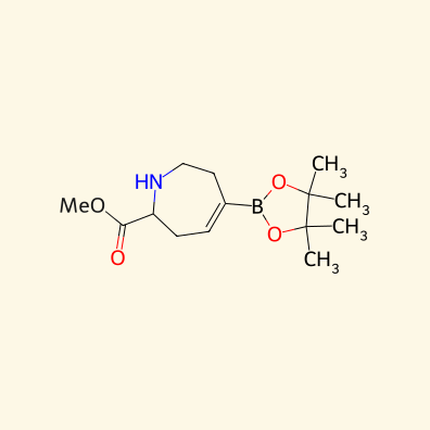 COC(=O)C1CC=C(B2OC(C)(C)C(C)(C)O2)CCN1